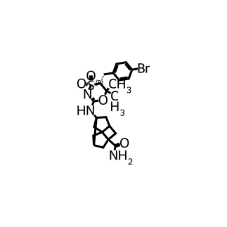 CC1(C)OC(NC23CC4CC5(C(N)=O)CC2CC45C3)=NS(=O)(=O)[C@@H]1Cc1ccc(Br)cc1